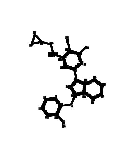 Cc1nc(-c2nn(Cc3ccccc3F)c3ncccc23)nc(NCC2CC2)c1F